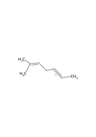 C/[C]=C/CC=C(C)C